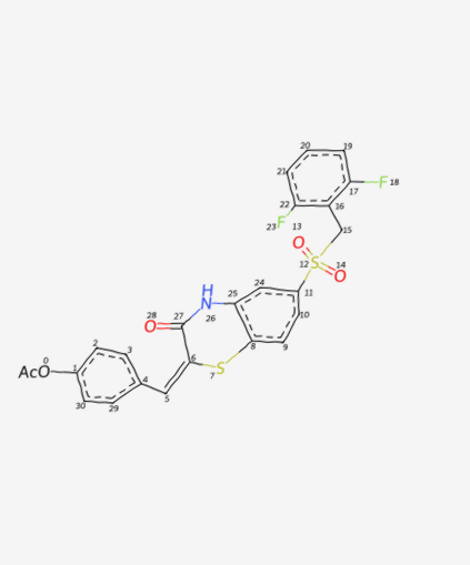 CC(=O)Oc1ccc(/C=C2/Sc3ccc(S(=O)(=O)Cc4c(F)cccc4F)cc3NC2=O)cc1